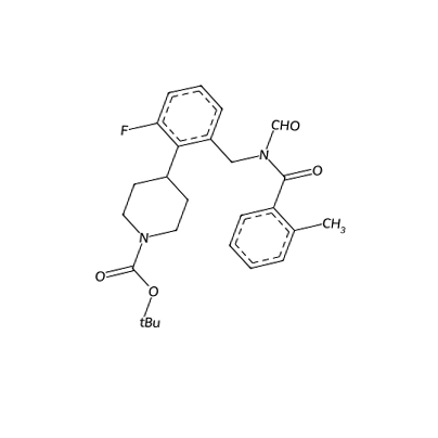 Cc1ccccc1C(=O)N(C=O)Cc1cccc(F)c1C1CCN(C(=O)OC(C)(C)C)CC1